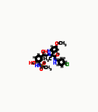 COc1ccc([C@](C)(NCC(O)c2ccc(O)c(NS(C)(=O)=O)c2)C(=O)Nc2ccc(Cl)cc2)cc1